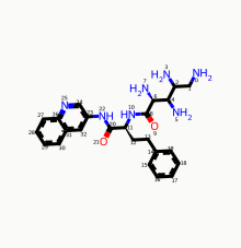 NCC(N)C(N)[C@H](N)C(=O)N[C@@H](CCc1ccccc1)C(=O)Nc1cnc2ccccc2c1